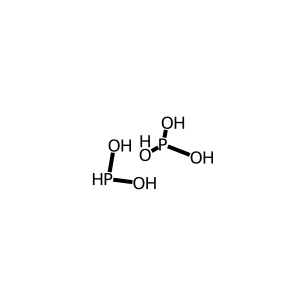 OP(O)O.OPO